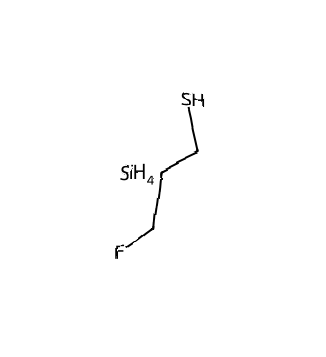 FCCCS.[SiH4]